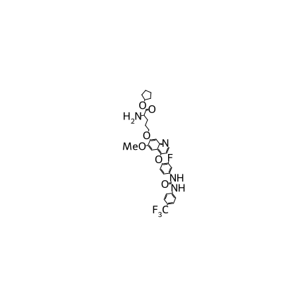 COc1cc2c(Oc3ccc(NC(=O)Nc4ccc(C(F)(F)F)cc4)cc3F)ccnc2cc1OCCC[C@@H](N)C(=O)OC1CCCC1